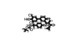 CC(C)(C)OC(=O)NC(C)(C)c1ccc(Nc2c(C(=O)C3CC3)cnc3ccc(-c4cc(Cl)c(O)c(Cl)c4)cc23)cc1